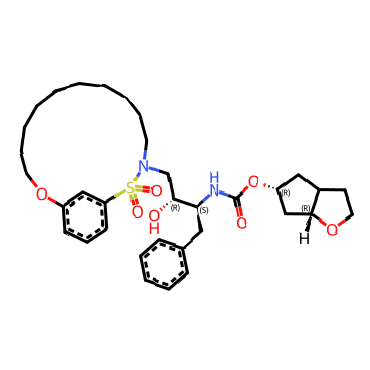 O=C(N[C@@H](Cc1ccccc1)[C@H](O)CN1CCCCCCCCCCOc2cccc(c2)S1(=O)=O)O[C@@H]1CC2CCO[C@@H]2C1